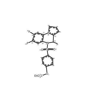 CCOC(=O)Oc1ccc(S(=O)(=O)N2c3cc(F)c(F)cc3-n3cccc3C2C)cc1